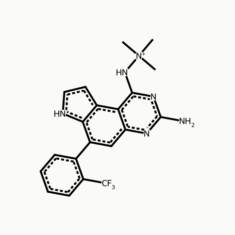 C[N+](C)(C)Nc1nc(N)nc2cc(-c3ccccc3C(F)(F)F)c3[nH]ccc3c12